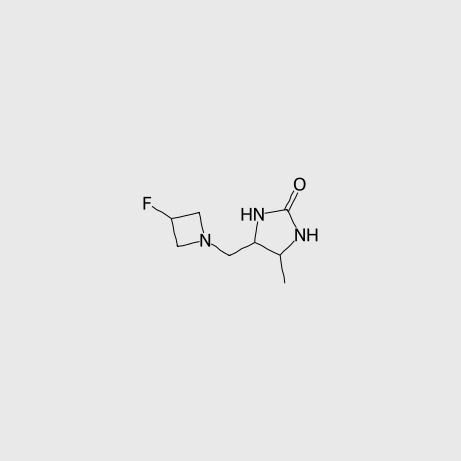 CC1NC(=O)NC1CN1CC(F)C1